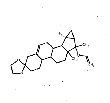 C=COC1(C)C2C[C@@H]2C2C3CC=C4CC5(CCC4C3CCC21C)OCCO5